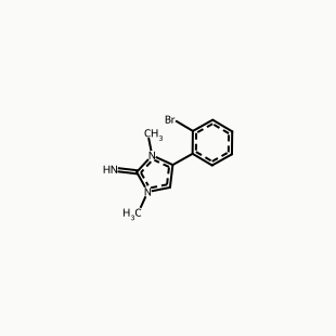 Cn1cc(-c2ccccc2Br)n(C)c1=N